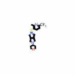 Cc1nc(C(F)(F)F)ccc1SN1CC2CN(C3CCOCC3)CC2C1